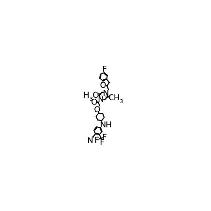 C[C@@H]1CN(CC2Cc3cc(F)ccc3O2)[C@@H](C)CN1C(=O)CO[C@H]1CC[C@H](Nc2ccc(C#N)c(C(F)(F)F)c2)CC1